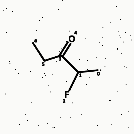 [CH2]C(F)C(=O)CC